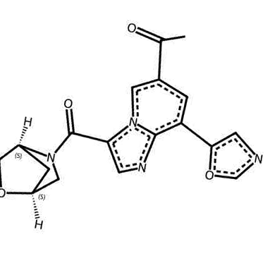 CC(=O)c1cc(-c2cnco2)c2ncc(C(=O)N3C[C@@H]4C[C@H]3CO4)n2c1